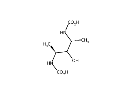 C[C@H](NC(=O)O)C(O)[C@@H](C)NC(=O)O